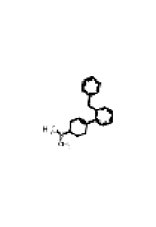 CN(C)C1CC=C(c2ccccc2Cc2ccccc2)CC1